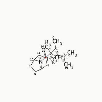 CCC(C)(C)C1CC2CCC(C1)N2C(=O)OCC(C)C